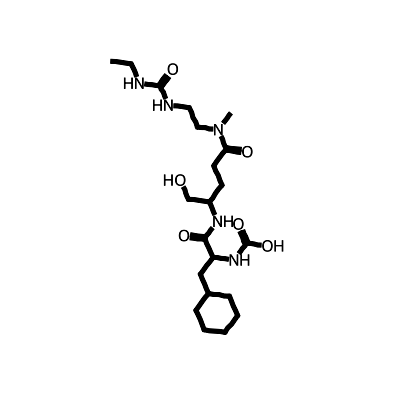 CCNC(=O)NCCN(C)C(=O)CCC(CO)NC(=O)C(CC1CCCCC1)NC(=O)O